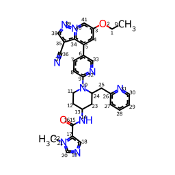 CCOc1cc(-c2ccc(N3CCC(NC(=O)c4cncn4C)CC3Cc3ccccn3)nc2)c2c(C#N)cnn2c1